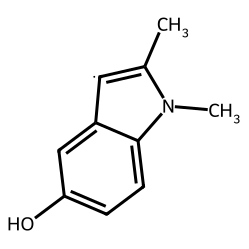 Cc1[c]c2cc(O)ccc2n1C